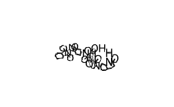 O=C(O)C[C@@H](C(=O)Nc1ccc2c(N3C(=O)c4ccccc4C3=O)noc2c1)[C@H]1OCCN(c2ccc3ccc(=O)[nH]c3c2)C1=O